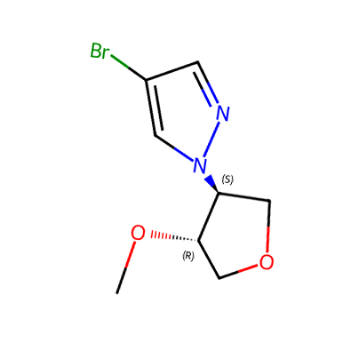 CO[C@H]1COC[C@@H]1n1cc(Br)cn1